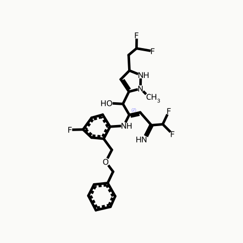 CN1NC(CC(F)F)C=C1C(O)/C(=C/C(=N)C(F)F)Nc1ccc(F)cc1COCc1ccccc1